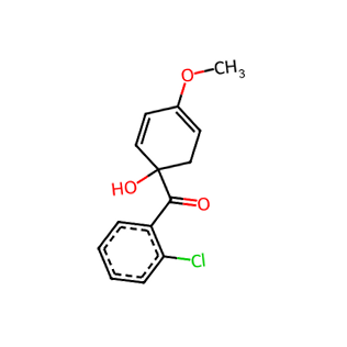 COC1=CCC(O)(C(=O)c2ccccc2Cl)C=C1